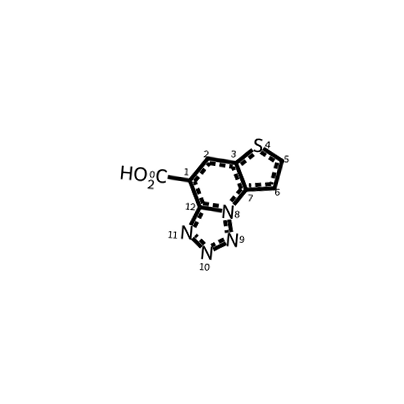 O=C(O)c1cc2sccc2n2nnnc12